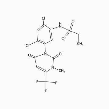 CCS(=O)(=O)Nc1cc(-n2c(=O)cc(C(F)(F)F)n(C)c2=O)c(Cl)cc1Cl